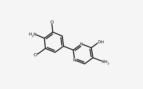 Nc1cnc(-c2cc(Cl)c(N)c(Cl)c2)nc1O